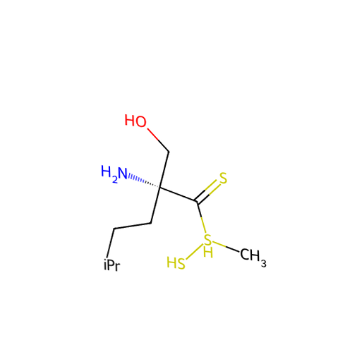 CC(C)CC[C@@](N)(CO)C(=S)[SH](C)S